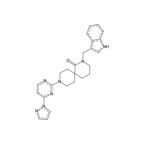 O=C1N(Cc2c[nH]c3ccccc23)CCCC12CCN(c1nccc(-n3cccn3)n1)CC2